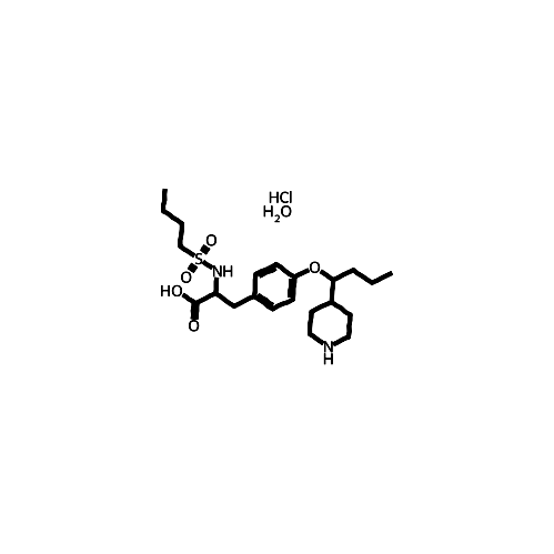 CCCCS(=O)(=O)NC(Cc1ccc(OC(CCC)C2CCNCC2)cc1)C(=O)O.Cl.O